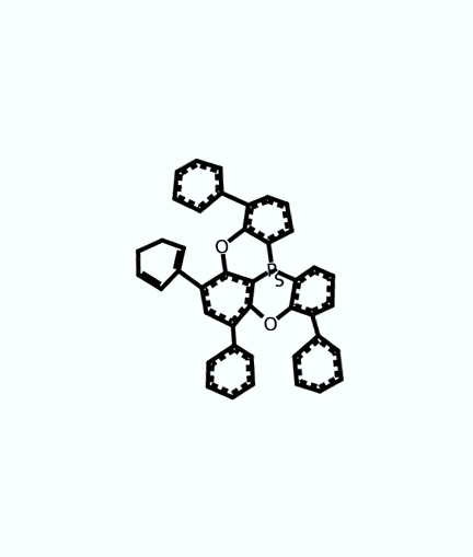 S=P12c3cccc(-c4ccccc4)c3Oc3c(C4=CCCC=C4)cc(-c4ccccc4)c(c31)Oc1c(-c3ccccc3)cccc12